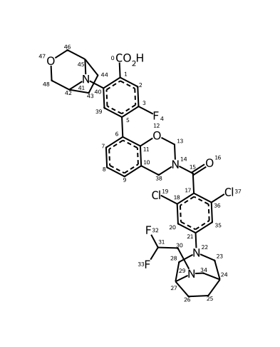 O=C(O)c1cc(F)c(-c2cccc3c2OCN(C(=O)c2c(Cl)cc(N4CC5CCC(C4)N(CC(F)F)C5)cc2Cl)C3)cc1N1C2CCC1COC2